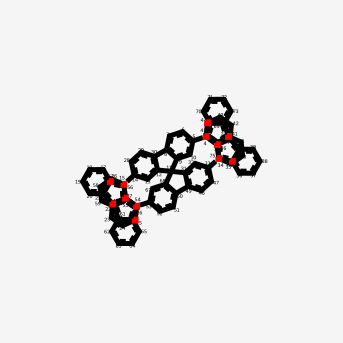 C1=Cc2c(n(-c3ccc4c(c3)C3(c5cc(-n6c7ccccc7c7ccccc76)ccc5-4)c4cc(-n5c6ccccc6c6ccccc65)ccc4-c4ccc(-n5c6ccccc6c6ccccc65)cc43)c3ccccc23)CC1